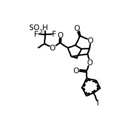 CC(OC(=O)C1C2CC3C(OC(=O)C31)C2OC(=O)c1ccc(I)cc1)C(F)(F)S(=O)(=O)O